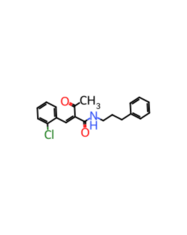 CC(=O)C(=Cc1ccccc1Cl)C(=O)NCCCc1ccccc1